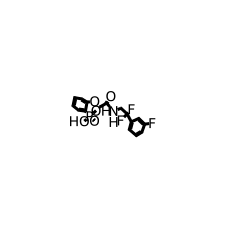 O=C(COc1ccccc1P(=O)(O)O)NCC(F)(F)c1cccc(F)c1